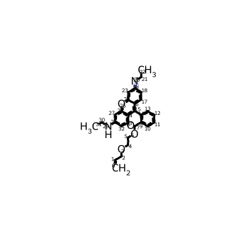 C=CCOCCOC(=O)c1ccccc1-c1c2cc/c(=N\CC)cc-2oc2cc(NCC)ccc12